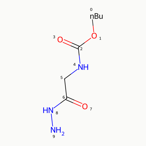 CCCCOC(=O)NCC(=O)NN